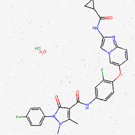 Cc1c(C(=O)Nc2ccc(Oc3ccc4nc(NC(=O)C5CC5)cn4c3)c(F)c2)c(=O)n(-c2ccc(F)cc2)n1C.Cl.O